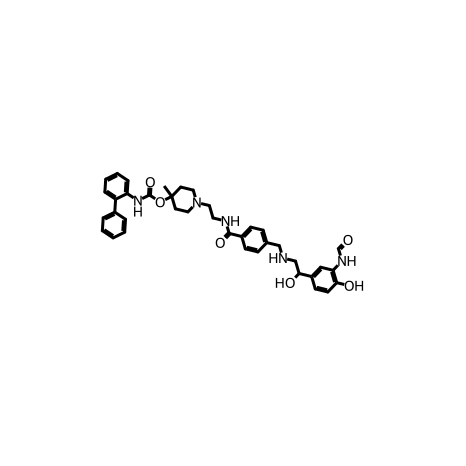 CC1(OC(=O)Nc2ccccc2-c2ccccc2)CCN(CCNC(=O)c2ccc(CNCC(O)c3ccc(O)c(NC=O)c3)cc2)CC1